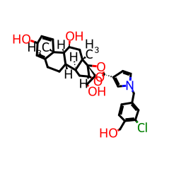 C[C@]12C=CC(O)C=C1CC[C@@H]1[C@@H]2[C@@H](O)C[C@@]2(C)[C@H]1C[C@H]1O[C@@H](c3ccn(Cc4ccc(CO)c(Cl)c4)c3)O[C@]12C(=O)CO